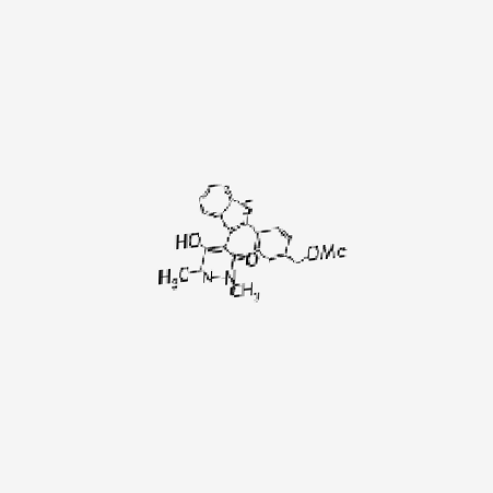 COCc1ccc(-c2sc3ccccc3c2-c2c(O)c(C)nn(C)c2=O)cc1